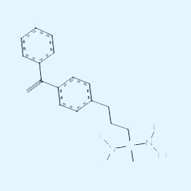 C=C(c1ccccc1)c1ccc(CCC[Si](C)(N(CC)CC)N(CC)CC)cc1